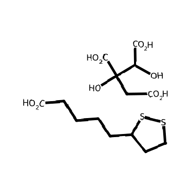 O=C(O)CC(O)(C(=O)O)C(O)C(=O)O.O=C(O)CCCCC1CCSS1